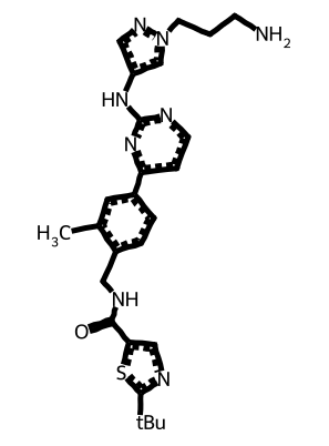 Cc1cc(-c2ccnc(Nc3cnn(CCCN)c3)n2)ccc1CNC(=O)c1cnc(C(C)(C)C)s1